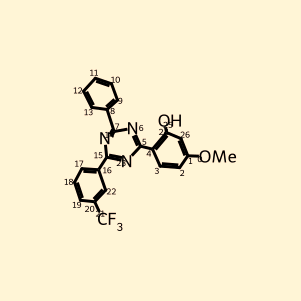 COc1ccc(-c2nc(-c3ccccc3)nc(-c3cccc(C(F)(F)F)c3)n2)c(O)c1